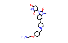 Cn1c(=O)n(C2CCC(=O)NC2=O)c2ccc(C3CCN(CC4CCC(OCCN)CC4)CC3)cc21